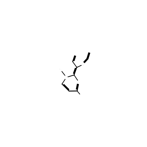 C=C/C(N=C=O)=C1/N=C(Cl)C=CN1N